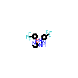 FC(F)(F)c1cccc(Oc2ncccc2Nc2nc3cc(C(F)(F)F)ccc3[nH]2)c1